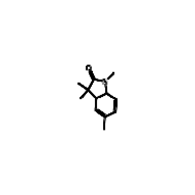 CC1=CC2C(C=C1)N(C)C(=O)C2(C)C